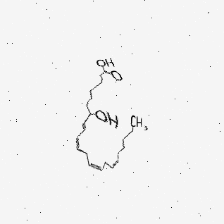 CCCCC/C=C\C/C=C\C/C=C\C=C\C(O)CCCCCC(=O)O